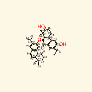 CO[C@@H]1c2cc(C(C)C)c(O)cc2[C@@]2(C)CC[C@H](O)C(C)(C)C2[C@H]1Oc1cc2c(cc1C(C)C)C=CC1C(C)(C)CCC[C@]21C